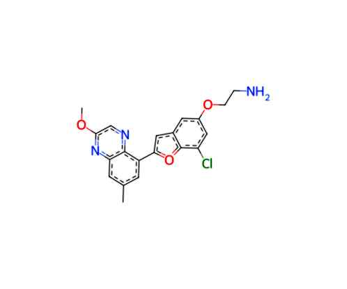 COc1cnc2c(-c3cc4cc(OCCN)cc(Cl)c4o3)cc(C)cc2n1